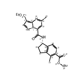 CCOC(=O)c1cnn2c(C(=O)N[C@H]3CCc4c3ccc(C(=O)OC(C)(C)C)c4C)cc(C)nc12